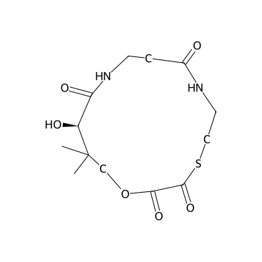 CC1(C)COC(=O)C(=O)SCCNC(=O)CCNC(=O)[C@@H]1O